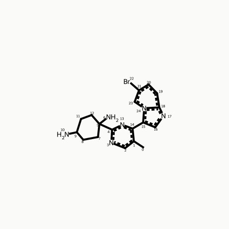 Cc1cnc(C2(N)CCC(N)CC2)nc1-c1cnc2ccc(Br)cn12